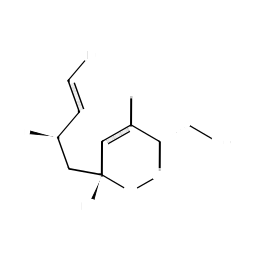 CC/C=C/[C@H](CC)C[C@]1(CC)C=C(CC)[C@H](CC(=O)O)OO1